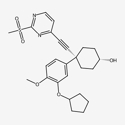 COc1ccc([C@]2(C#Cc3ccnc(S(C)(=O)=O)n3)CC[C@@H](O)CC2)cc1OC1CCCC1